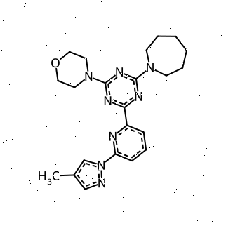 Cc1cnn(-c2cccc(-c3nc(N4CCCCCC4)nc(N4CCOCC4)n3)n2)c1